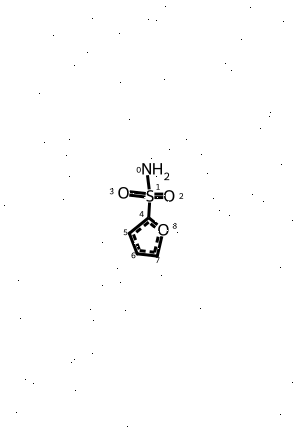 NS(=O)(=O)c1ccco1